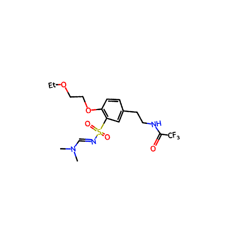 CCOCCOc1ccc(CCNC(=O)C(F)(F)F)cc1S(=O)(=O)N=CN(C)C